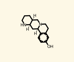 Oc1ccc2c(c1)CCN1C[C@@H]3CCCN[C@@H]3C[C@H]21